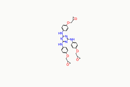 c1cc(OCC2CO2)ccc1Nc1nc(Nc2ccc(OCC3CO3)cc2)nc(Nc2ccc(OCC3CO3)cc2)n1